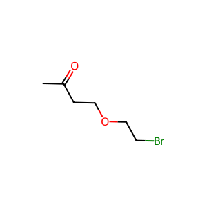 CC(=O)CCOCCBr